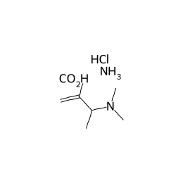 C=C(C(=O)O)C(C)N(C)C.Cl.N